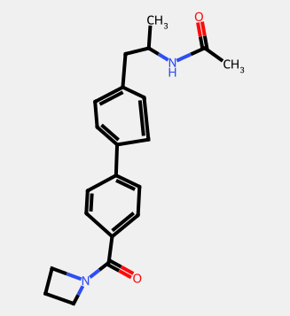 CC(=O)NC(C)Cc1ccc(-c2ccc(C(=O)N3CCC3)cc2)cc1